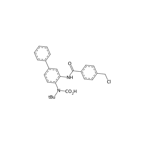 CC(C)(C)N(C(=O)O)c1ccc(-c2ccccc2)cc1NC(=O)c1ccc(CCl)cc1